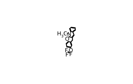 Cn1c(=O)c(Cc2cccc(OC(F)(F)F)c2)cc2ccccc21